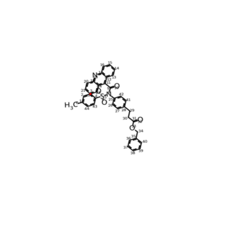 Cc1ccc(S(=O)(=O)N(C(=O)c2c3ccccc3nc3ccccc23)c2ccc(CCC(=O)OCc3ccccc3)cc2)cc1